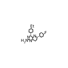 CCc1ccc(-c2nc(N)nc3ccc(-c4ccc(F)cc4)nc23)cc1